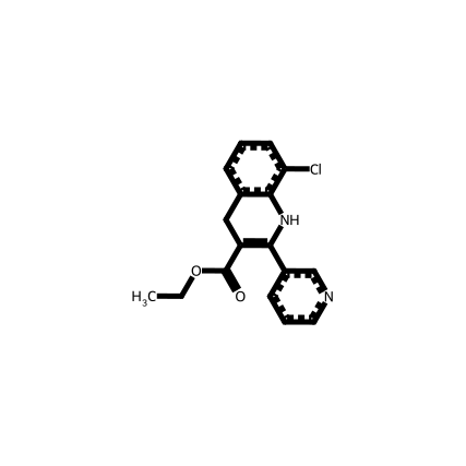 CCOC(=O)C1=C(c2cccnc2)Nc2c(Cl)cccc2C1